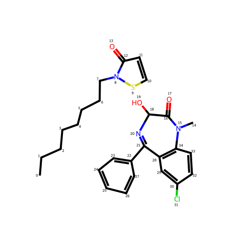 CCCCCCCCn1sccc1=O.CN1C(=O)C(O)N=C(c2ccccc2)c2cc(Cl)ccc21